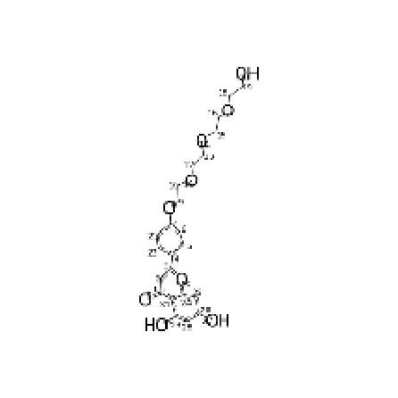 O=c1cc(-c2ccc(OCCOCCOCCOCCO)cc2)oc2cc(O)cc(O)c12